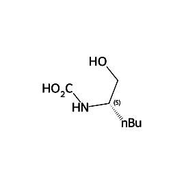 CCCC[C@@H](CO)NC(=O)O